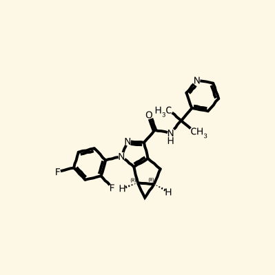 CC(C)(NC(=O)c1nn(-c2ccc(F)cc2F)c2c1C[C@H]1C[C@@H]21)c1cccnc1